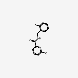 Cc1ccccc1CNC(=O)c1cncc(Cl)n1